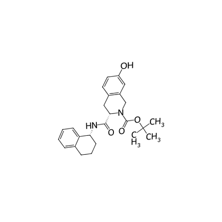 CC(C)(C)OC(=O)N1Cc2cc(O)ccc2C[C@H]1C(=O)N[C@@H]1CCCc2ccccc21